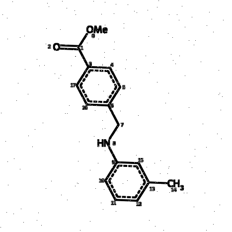 COC(=O)c1ccc(CNc2cccc(C)c2)cc1